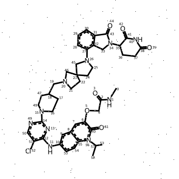 CNC(=O)COc1cc2cc(Nc3nc(N4CCC(CN5CCC6(CCN(c7cccc8c7CN(C7CCC(=O)NC7=O)C8=O)C6)C5)CC4)ncc3Cl)ccc2n(C(C)C)c1=O